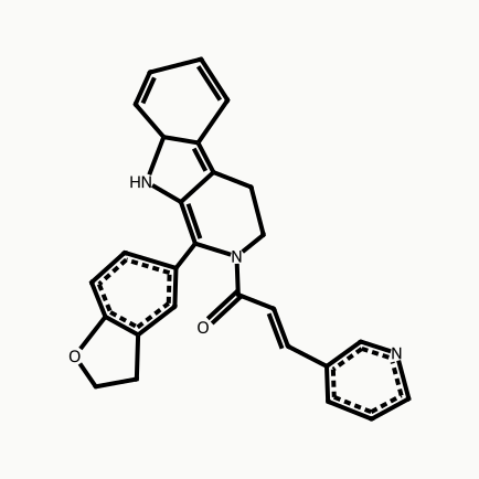 O=C(/C=C/c1cccnc1)N1CCC2=C3C=CC=CC3NC2=C1c1ccc2c(c1)CCO2